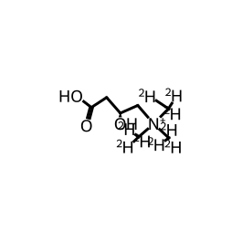 [2H]C([2H])([2H])[N+](C[C@@H](O)CC(=O)O)(C([2H])([2H])[2H])C([2H])([2H])[2H]